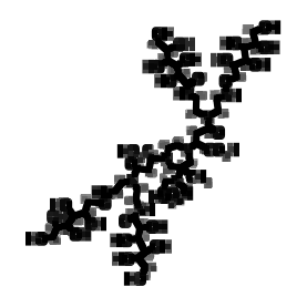 CC1(N(CC(=O)O)CC(=O)O)CN(C(CC(=O)N(CCNOCC(O)C(O)C(O)C(O)CO)CCNC(=O)C(O)C(O)C(O)C(O)CO)C(=O)O)CCN(C(CC(=O)N(CCNOCC(O)C(O)C(O)C(O)CO)CCNC(=O)C(O)C(O)C(O)C(O)CO)C(=O)O)C1